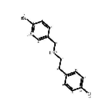 CC(C)(C)c1ccc(CNCCc2ccc(Cl)cc2)cn1